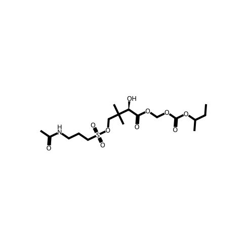 CCC(C)OC(=O)OCOC(=O)[C@H](O)C(C)(C)COS(=O)(=O)CCCNC(C)=O